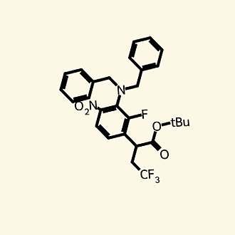 CC(C)(C)OC(=O)C(CC(F)(F)F)c1ccc([N+](=O)[O-])c(N(Cc2ccccc2)Cc2ccccc2)c1F